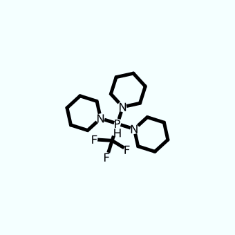 FC(F)(F)[PH](N1CCCCC1)(N1CCCCC1)N1CCCCC1